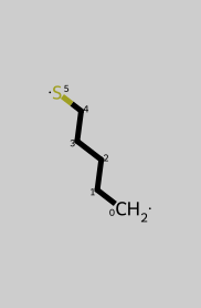 [CH2]CCCC[S]